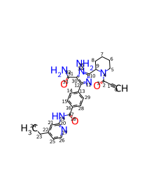 C#CC(=O)N1CCCCC1c1nc(-c2ccc(C(=O)Nc3cc(CC)ccn3)cc2)c(C(N)=O)n1N